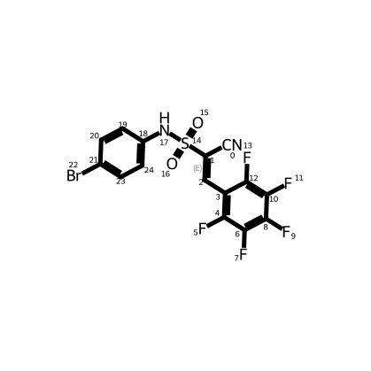 N#C/C(=C\c1c(F)c(F)c(F)c(F)c1F)S(=O)(=O)Nc1ccc(Br)cc1